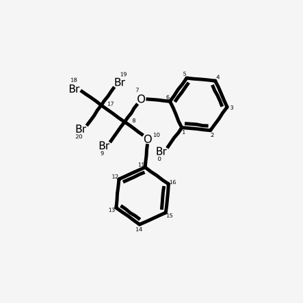 Brc1ccccc1OC(Br)(Oc1ccccc1)C(Br)(Br)Br